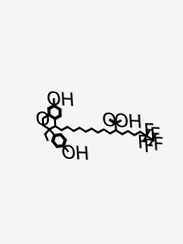 CCC1(c2ccc(O)cc2)COc2cc(O)ccc2C1CCCCCCCCCC(CCCCC(F)(F)C(F)(F)F)C(=O)O